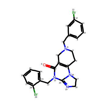 O=C1C2=C(CCN(Cc3cccc(Br)c3)C2)N2CCN=C2N1Cc1ccccc1Br